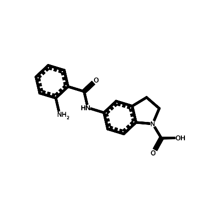 Nc1ccccc1C(=O)Nc1ccc2c(c1)CCN2C(=O)O